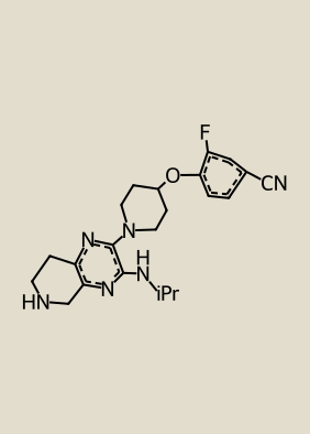 CC(C)Nc1nc2c(nc1N1CCC(Oc3ccc(C#N)cc3F)CC1)CCNC2